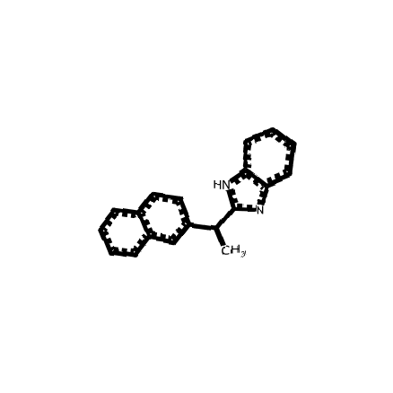 CC(c1ccc2ccccc2c1)c1nc2ccccc2[nH]1